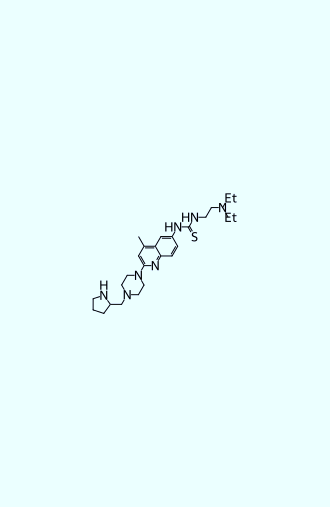 CCN(CC)CCNC(=S)Nc1ccc2nc(N3CCN(CC4CCCN4)CC3)cc(C)c2c1